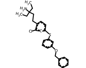 CCC(N)(CC)CCc1ccc(Sc2cccc(OCc3ccccc3)c2)cc1Cl